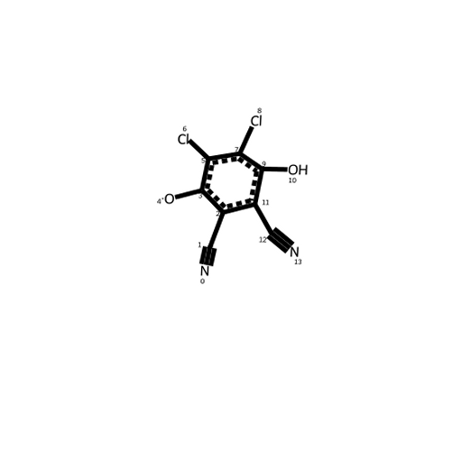 N#Cc1c([O])c(Cl)c(Cl)c(O)c1C#N